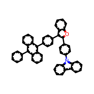 c1ccc(-c2c3ccccc3c(-c3ccc(-c4c(-c5ccc(-n6c7ccccc7c7ccccc76)cc5)oc5ccccc45)cc3)c3ccccc23)cc1